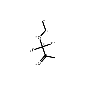 CCOC(F)(F)C(C)=O